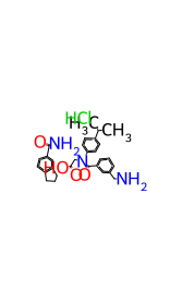 CC(C)c1ccc(N(CC(=O)O)C(=O)c2cccc(CN)c2)cc1.Cl.NC(=O)c1ccc2c(c1)CCC2